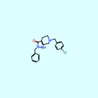 O=c1c2c([nH]n1Cc1ccccc1)CN(Cc1ccc(Cl)cc1)CC2